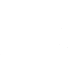 COC(=O)CCNC(=O)c1ccc(CCN2C(=O)C(c3cccc(Cl)c3)=NC23CCC(C(C)C)CC3)cc1